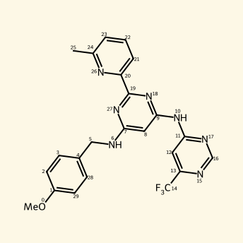 COc1ccc(CNc2cc(Nc3cc(C(F)(F)F)ncn3)nc(-c3cccc(C)n3)n2)cc1